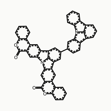 O=c1oc2ccccc2c2cc3c4cc(-c5ccc6c7cccc8c9ccccc9n(c6c5)c87)cc5c6cc7c(cc6n(c3cc12)c45)c(=O)oc1ccccc17